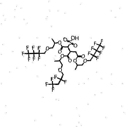 CC(COCC(F)(F)C(F)(F)C(F)(F)F)OC(=O)CC(C(=O)OC(C)COCC(F)(F)CC(F)(F)F)C(C(=O)OC(C)COCC(F)(F)C(F)(F)C(F)(F)F)S(=O)(=O)O